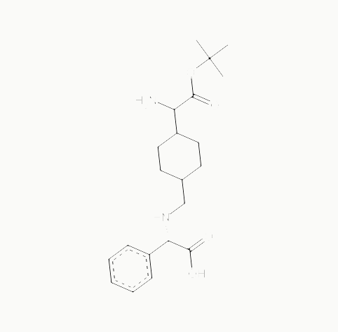 CC(C)(C)OC(=O)C(N)C1CCC(CN[C@H](C(=O)O)c2ccccc2)CC1